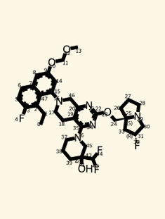 CCc1c(F)ccc2cc(OCOC)cc(N3CCc4c(nc(OC[C@@]56CCCN5C[C@H](F)C6)nc4N4CCCC(O)(C(F)F)C4)C3)c12